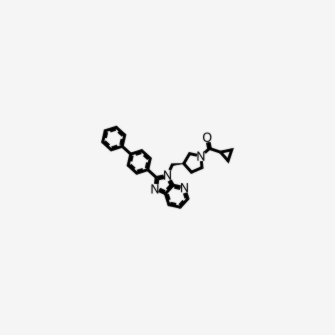 O=C(C1CC1)N1CC[C@@H](Cn2c(-c3ccc(-c4ccccc4)cc3)nc3cccnc32)C1